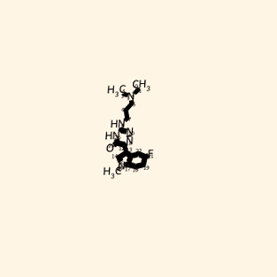 CCN(CC)CCCNc1nnc(-c2cn(C)c3ccc(F)cc23)c(=O)[nH]1